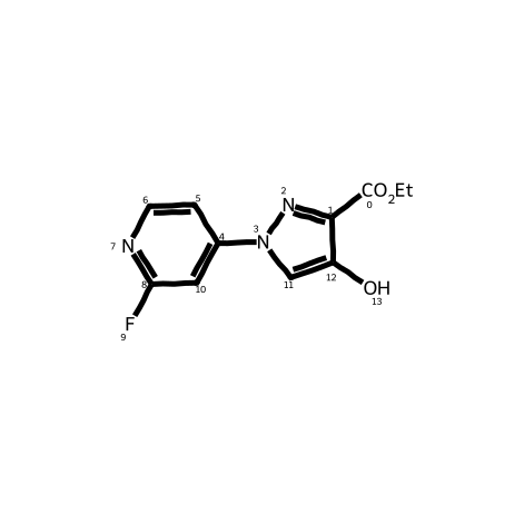 CCOC(=O)c1nn(-c2ccnc(F)c2)cc1O